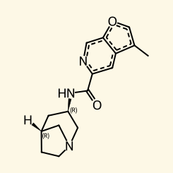 Cc1coc2cnc(C(=O)N[C@@H]3C[C@H]4CCN(C4)C3)cc12